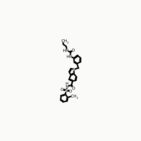 CCCNC(=O)Nc1cccc(Cn2ccc3cc(C(=O)NS(=O)(=O)c4ccccc4C)ccc32)c1